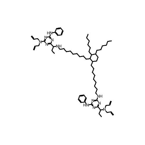 C=CCN(CC=C)c1nc(Nc2ccccc2)nc(C(CC)NCCCCCCCCCC2C(CCCCCCCCCNc3nc(Nc4ccccc4)nc(C(CC)N(CC=C)CC=C)n3)CCC(CCCCCC)C2CCCCCC)n1